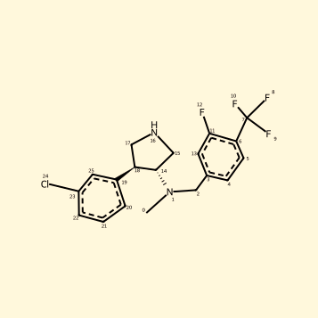 CN(Cc1ccc(C(F)(F)F)c(F)c1)[C@H]1CNC[C@@H]1c1cccc(Cl)c1